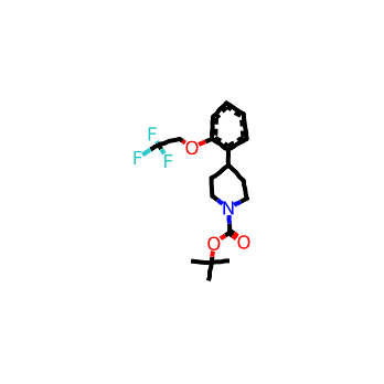 CC(C)(C)OC(=O)N1CCC(c2ccccc2OCC(F)(F)F)CC1